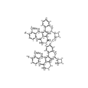 COc1c(F)cccc1Nc1c(-c2ccncc2OCC2CCN2C(=O)O)[nH]c2c1C(=O)NCC2.COc1c(F)cccc1Nc1c(-c2ccncc2OC[C@H]2CCN2)[nH]c2c1C(=O)NCC2